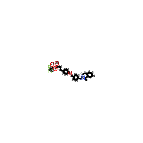 CC1c2ccccc2CCN1Cc1ccc(COc2ccc(CCC(=O)OC(=O)C(F)(F)F)cc2)cc1